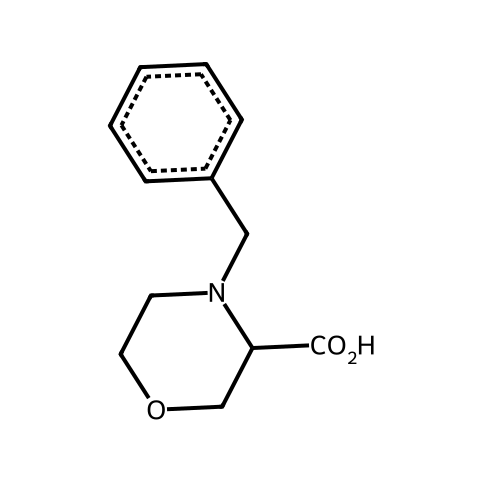 O=C(O)C1COCCN1Cc1ccccc1